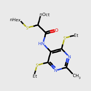 CCCCCCCCC(SCCCCCC)C(=O)Nc1c(SCC)nc(C)nc1SCC